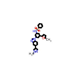 Cc1ccc(-c2cc(NS(=O)(=O)c3ccccc3)cc(-n3cnc4cc(-c5cnn(C)c5)ccc43)c2)o1